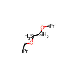 CC(C)CO[SiH2][SiH2]OC(C)C